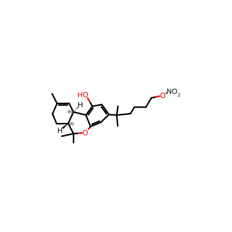 CC1=C[C@H]2c3c(O)cc(C(C)(C)CCCCO[N+](=O)[O-])cc3OC(C)(C)[C@@H]2CC1